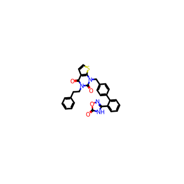 O=c1[nH]c(-c2ccccc2-c2ccc(Cn3c(=O)n(CCc4ccccc4)c(=O)c4ccsc43)cc2)no1